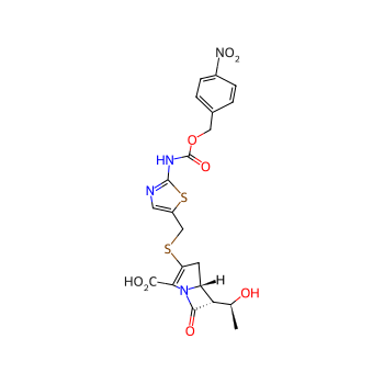 C[C@H](O)[C@@H]1C(=O)N2C(C(=O)O)=C(SCc3cnc(NC(=O)OCc4ccc([N+](=O)[O-])cc4)s3)C[C@H]12